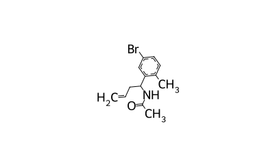 C=CCC(NC(C)=O)c1cc(Br)ccc1C